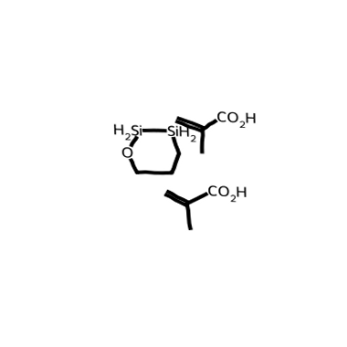 C1CO[SiH2][SiH2]C1.C=C(C)C(=O)O.C=C(C)C(=O)O